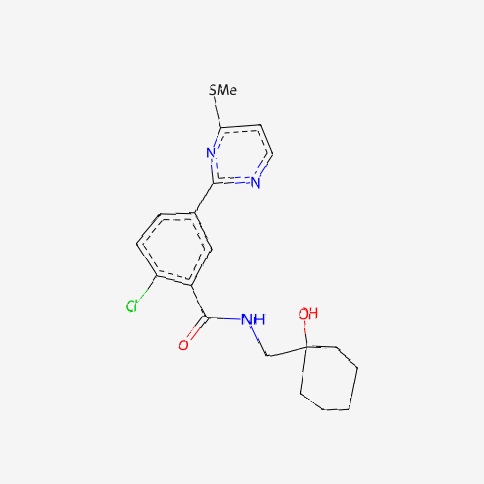 CSc1ccnc(-c2ccc(Cl)c(C(=O)NCC3(O)CCCCC3)c2)n1